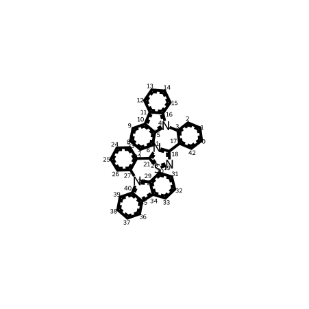 c1ccc(-n2c3ccccc3c3ccccc32)c(-c2nsc(-c3ccccc3-n3c4ccccc4c4ccccc43)n2)c1